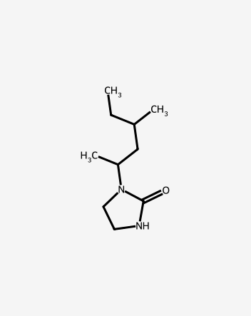 CCC(C)CC(C)N1CCNC1=O